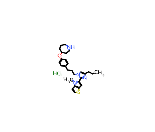 CCCc1cn(CCCc2ccc(OC3CCCNCC3)cc2)c(-c2cc3sccc3n2C)n1.Cl